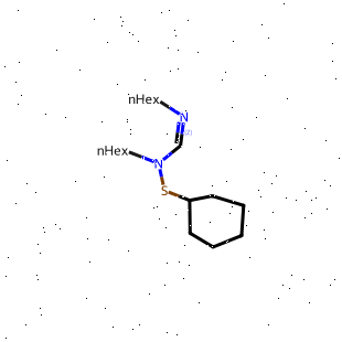 CCCCCC/N=C\N(CCCCCC)SC1CCCCC1